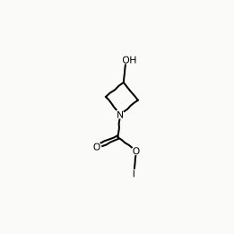 O=C(OI)N1CC(O)C1